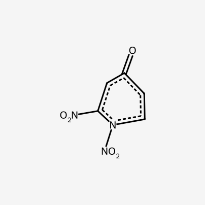 O=c1ccn([N+](=O)[O-])c([N+](=O)[O-])c1